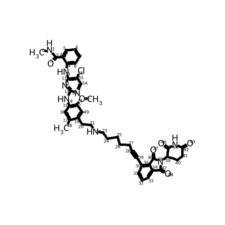 CNC(=O)c1ccccc1Nc1nc(Nc2cc(C)c(CCNCCCCCC#Cc3cccc4c3C(=O)N(C3CCC(=O)NC3=O)C4=O)cc2OC)ncc1Cl